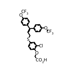 O=C(O)COc1ccc(SCC=C(c2ccc(OC(F)(F)F)cc2)c2ccc(OC(F)(F)F)cc2)cc1Cl